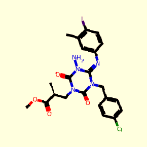 COC(=O)[C@@H](C)Cn1c(=O)n(N)/c(=N\c2ccc(I)c(C)c2)n(Cc2ccc(Cl)cc2)c1=O